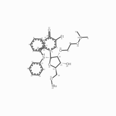 CCc1cn([C@]2([SiH](c3ccccc3)c3ccccc3)O[C@H](COC(C)(C)C)[C@@H](O)[C@H]2OCCON(C)C)c(=O)[nH]c1=O